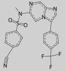 CN(c1cn2c(-c3ccc(C(F)(F)F)cc3)cnc2cn1)S(=O)(=O)c1ccc(C#N)cc1